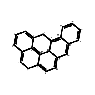 C1=C2CC=c3cccc4c3=C2C2C(=C1)C=c1ccccc1=C2C4